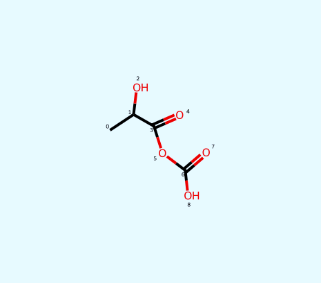 CC(O)C(=O)OC(=O)O